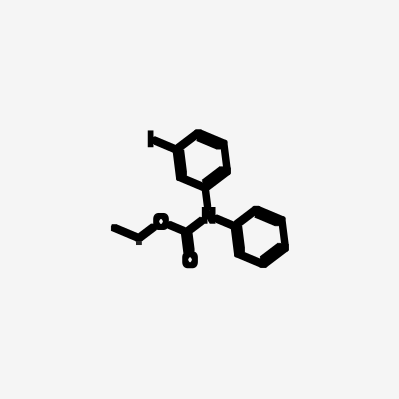 C[CH]OC(=O)N(c1ccccc1)c1cccc(I)c1